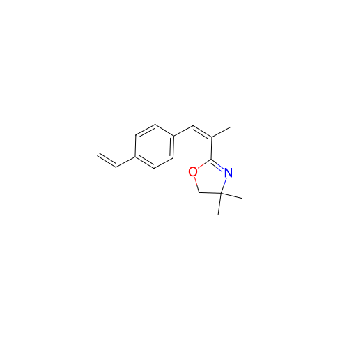 C=Cc1ccc(C=C(C)C2=NC(C)(C)CO2)cc1